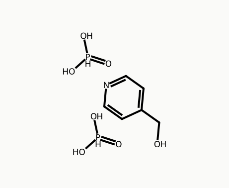 O=[PH](O)O.O=[PH](O)O.OCc1ccncc1